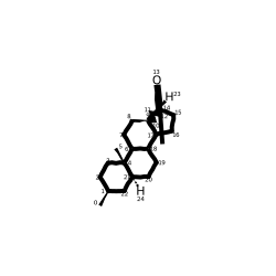 C[C@H]1CC[C@]2(C)C3CC[C@]45CCC(=O)[C@H]4CCC5C3CC[C@H]2C1